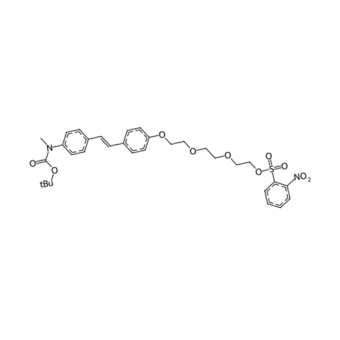 CN(C(=O)OC(C)(C)C)c1ccc(C=Cc2ccc(OCCOCCOCCOS(=O)(=O)c3ccccc3[N+](=O)[O-])cc2)cc1